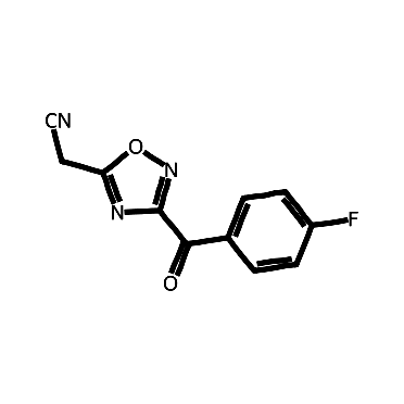 N#CCc1nc(C(=O)c2ccc(F)cc2)no1